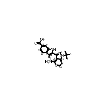 CC(C)(C)n1nc(-c2[nH]c3cc(C(=O)O)ccc3c2Cl)c2c(N)ncnc21